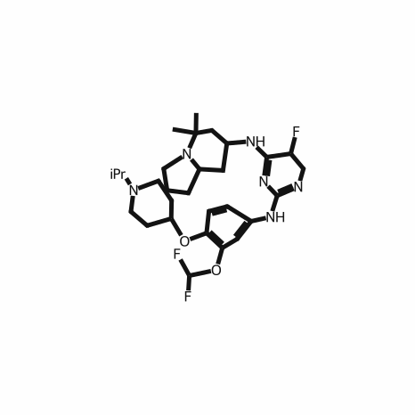 CC(C)N1CCC(Oc2ccc(NC3=NCC(F)C(NC4CC5CCCN5C(C)(C)C4)=N3)cc2OC(F)F)CC1